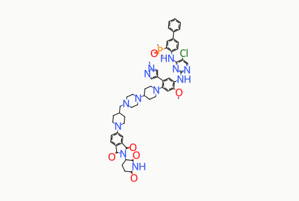 COc1cc(N2CCC(N3CCN(CC4CCN(c5ccc6c(c5)C(=O)N(C5CCC(=O)NC5=O)C6=O)CC4)CC3)CC2)c(-c2cnn(C)c2)cc1Nc1ncc(Cl)c(Nc2ccc(-c3ccccc3)cc2P(C)(C)=O)n1